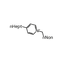 CCCCCCCCCC[n+]1ccc(CCCCCCC)cc1